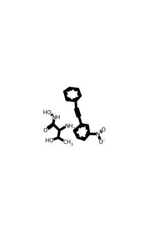 CC(O)C(N)C(=O)NO.O=[N+]([O-])c1cccc(C#Cc2ccccc2)c1